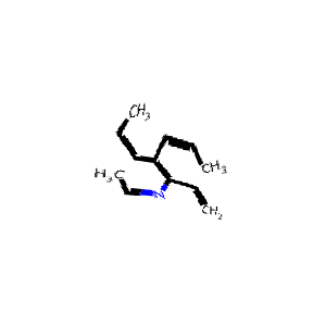 C=CC(/N=C\C)=C(/C=C\C)/C=C\C